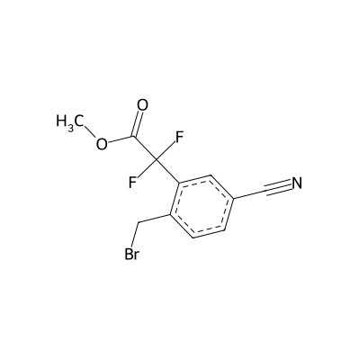 COC(=O)C(F)(F)c1cc(C#N)ccc1CBr